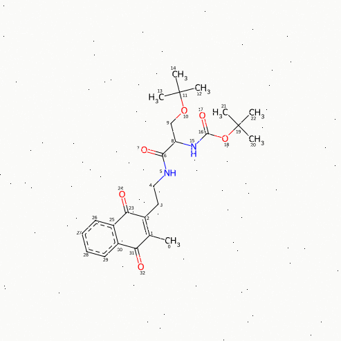 CC1=C(CCNC(=O)C(COC(C)(C)C)NC(=O)OC(C)(C)C)C(=O)c2ccccc2C1=O